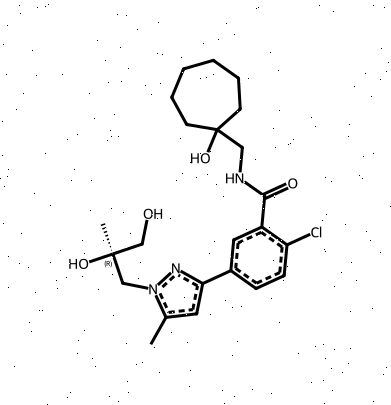 Cc1cc(-c2ccc(Cl)c(C(=O)NCC3(O)CCCCCC3)c2)nn1C[C@@](C)(O)CO